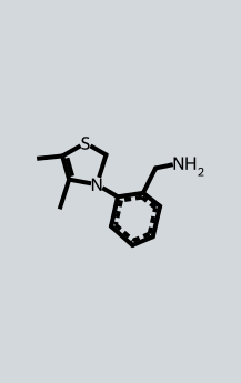 CC1=C(C)N(c2ccccc2CN)CS1